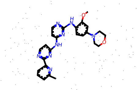 COc1cc(N2CCOCC2)ccc1Nc1nccc(Nc2ccnc(-c3cccc(C)n3)n2)n1